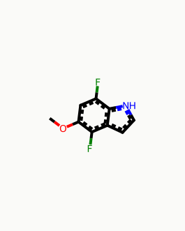 COc1cc(F)c2[nH]ccc2c1F